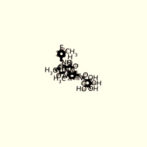 Cc1cc(CNC(=O)c2nc3n(c(=O)c2O)CC2(CNC(=O)[C@H]4O[C@@H](O)[C@H](O)[C@@H](O)[C@@H]4O)CCC3(N(C)C(=O)C(=O)N(C)C)CC2)ccc1F